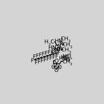 CCC(NS(=O)(=O)C(F)(F)C(F)(F)C(F)(F)C(F)(F)C(F)(F)C(F)(F)C(F)(F)C(F)(F)F)N(NC)N(C)NC.CCCC1(S(=O)(=O)[O-])CCO1.Cl.Cl.Cl.[Na+]